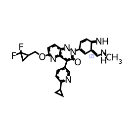 CN/C=C1/C=C(n2nc3ccc(OCC4CC4(F)F)nc3c(-c3ccc(C4CC4)nc3)c2=O)C=CC1=N